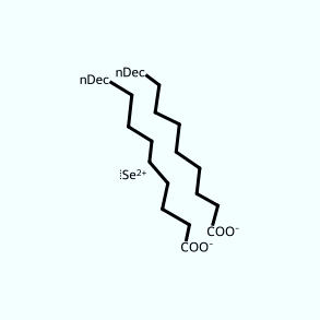 CCCCCCCCCCCCCCCCCC(=O)[O-].CCCCCCCCCCCCCCCCCC(=O)[O-].[Se+2]